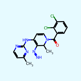 Cc1ccnc(NC2=C(N=N)C(C)N(C(=O)c3cccc(Cl)c3Cl)C=C2)n1